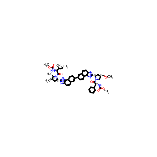 CC[C@H](C)[C@H](NC(=O)OC)C(=O)N1[C@H](C)[C@H](C)C[C@H]1c1nc2ccc3cc(-c4ccc5c(ccc6nc([C@@H]7C[C@H](COC)CN7C(=O)[C@H](NC(=O)OC)c7ccccc7)[nH]c65)c4)ccc3c2[nH]1